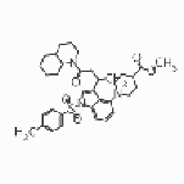 COC(=O)C1CCN(c2cccc3c2c(C(C)CC(=O)N2CCCC4CCCCC42)cn3S(=O)(=O)c2ccc(C)cc2)CC1